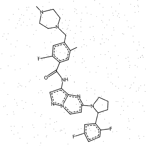 Cc1cc(C(=O)Nc2cnn3ccc(N4CCCC4c4cc(F)ccc4F)nc23)c(F)cc1CN1CCN(C)CC1